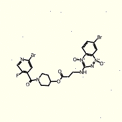 O=C(CCNc1n[n+]([O-])c2cc(Br)ccc2[n+]1[O-])OC1CCN(C(=O)c2cc(Br)ncc2F)CC1